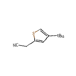 CC(C)(C)c1csc(CC#N)c1